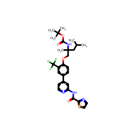 CC(C)CC(C)(COc1ccc(-c2ccnc(NC(=O)c3nccs3)c2)cc1C(F)(F)F)NC(=O)OC(C)(C)C